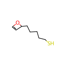 SCCCCCC1C=CO1